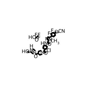 Cn1c(-c2ccc(OCC#N)c(F)c2F)cnc1C(=O)Nc1ccc(C(=O)N2CCC(C(=O)N3CCN[C@@H](CO)C3)CC2)c(Cl)c1.O=C(O)C(F)(F)F